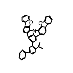 CC(C)c1ccc(-c2ccccc2)cc1-c1cc2c3ccc4c5ccccc5oc4c3n3c2c(c1)c1ccc2c4ccccc4oc2c13